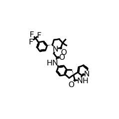 CC1(C)CC[C@@H](c2cccc(C(F)(F)F)c2)N(CC(=O)Nc2ccc3c(c2)C[C@@]2(C3)C(=O)Nc3ncccc32)C1=O